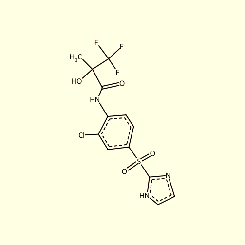 CC(O)(C(=O)Nc1ccc(S(=O)(=O)c2ncc[nH]2)cc1Cl)C(F)(F)F